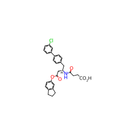 O=C(O)CCC(=O)N[C@@H](CC(=O)Oc1ccc2c(c1)CCC2)Cc1ccc(-c2cccc(Cl)c2)cc1